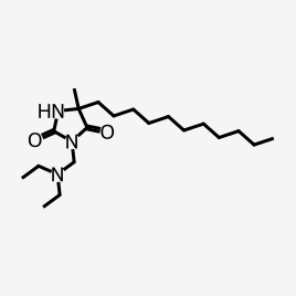 CCCCCCCCCCCC1(C)NC(=O)N(CN(CC)CC)C1=O